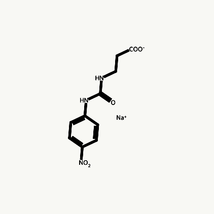 O=C([O-])CCNC(=O)Nc1ccc([N+](=O)[O-])cc1.[Na+]